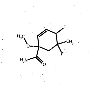 COC1(C(N)=O)C=CC(F)C(C)(F)C1